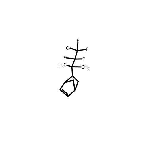 CC(C)(C1CC2C=CC1C2)C(F)(F)C(F)(F)Cl